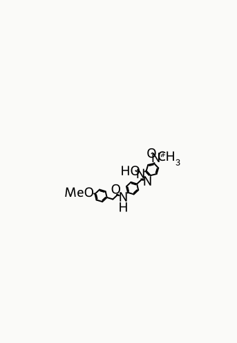 COc1ccc(CC(=O)Nc2ccc(-c3nc4ccc([N+](C)=O)cc4n3O)cc2)cc1